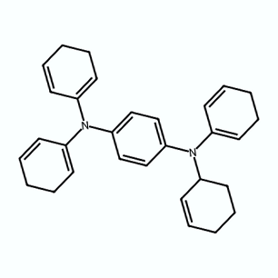 C1=CC(N(C2=CCCC=C2)c2ccc(N(C3=CCCC=C3)C3C=CCCC3)cc2)=CCC1